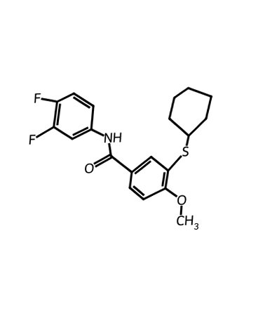 COc1ccc(C(=O)Nc2ccc(F)c(F)c2)cc1SC1CCCCC1